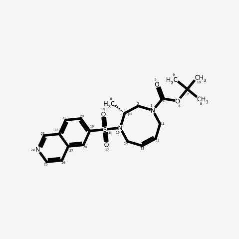 C[C@@H]1CN(C(=O)OC(C)(C)C)CC=CCN1S(=O)(=O)c1ccc2cnccc2c1